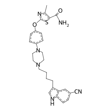 Cc1nc(Oc2ccc(N3CCN(CCCCc4c[nH]c5ccc(C#N)cc45)CC3)cc2)sc1C(N)=O